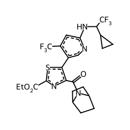 CCOC(=O)c1nc(C(=O)N2C3CCC2CC3)c(-c2cnc(NC(C3CC3)C(F)(F)F)cc2C(F)(F)F)s1